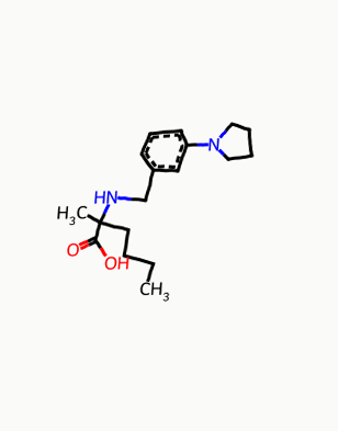 CCCCC(C)(NCc1cccc(N2CCCC2)c1)C(=O)O